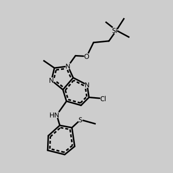 CSc1ccccc1Nc1cc(Cl)nc2c1nc(C)n2COCC[Si](C)(C)C